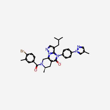 Cc1cnn(-c2ccc(-n3c(=O)c4c(n5ncc(CC(C)C)c35)CN(C(=O)c3ccc(Br)c(C)c3)[C@H](C)C4)cc2)c1